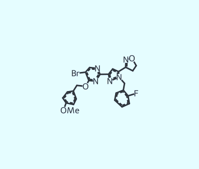 COc1ccc(COc2nc(-c3cc(C4=NOCC4)n(Cc4ccccc4F)n3)ncc2Br)cc1